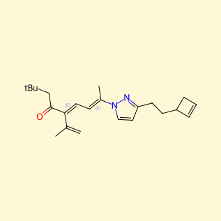 C=C(C)/C(=C\C=C(/C)n1ccc(CCC2C=CC2)n1)C(=O)CC(C)(C)C